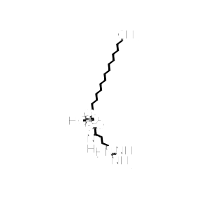 CCCCCCCCCCCCCCCCOP(=O)(O)OC(=O)[C@@H](N)CCCNC(=N)N